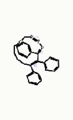 c1ccc(C2=P\P=P/CCCCCC/C(c3ccccc3)=C\2c2ccccc2)cc1